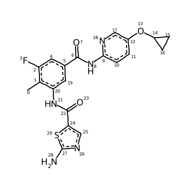 Cc1c(F)cc(C(=O)Nc2ccc(OC3CC3)cn2)cc1NC(=O)c1cnc(N)s1